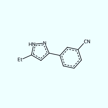 CCc1cc(-c2cccc(C#N)c2)n[nH]1